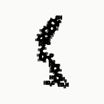 CC1(C)C(O)CCC2(C)C1CCC1(C)C3CCC4(C(=O)NCCc5cccc(C(=O)NCc6ccc(C(=O)NC(C(=O)O)C(N)C(=O)O)cn6)c5)CCCC4C3CCC12